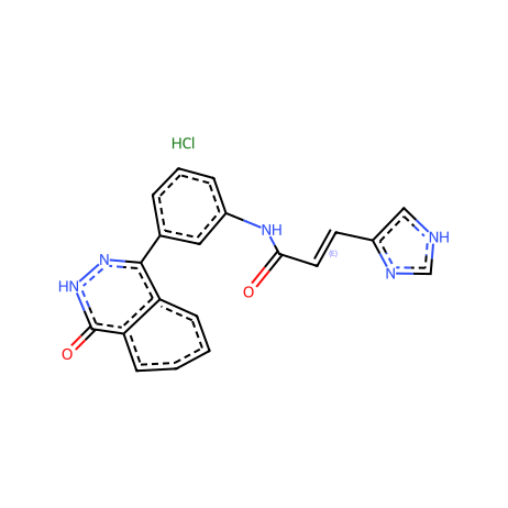 Cl.O=C(/C=C/c1c[nH]cn1)Nc1cccc(-c2n[nH]c(=O)c3ccccc23)c1